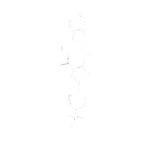 CCNS(=O)(=O)c1ccc(-c2ccc(OC(F)(F)F)c(C(=O)NC(CC#N)Cc3c[nH]c4ccccc34)c2)cc1